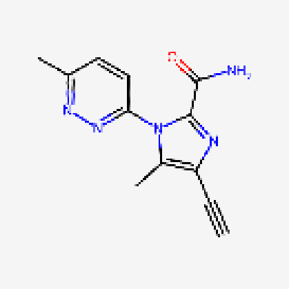 C#Cc1nc(C(N)=O)n(-c2ccc(C)nn2)c1C